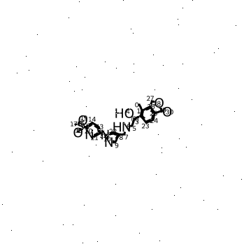 Cc1c([C@@H](O)CNCc2cnn(-c3ccc(S(C)(=O)=O)nc3)c2)ccc2c1COC2=O